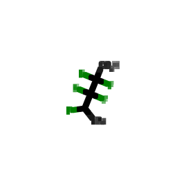 CCCCC(F)C(F)(F)C(F)(F)C(=O)O